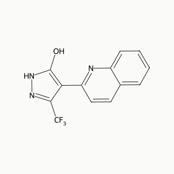 Oc1[nH]nc(C(F)(F)F)c1-c1ccc2ccccc2n1